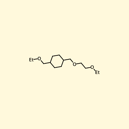 CCOCCOCC1CCC(COCC)CC1